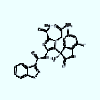 CNC(=O)c1nc(NC(=O)c2nsc3ccccc23)c([C@]2(C)C(=O)Nc3c(F)cc(F)cc32)n1CC(N)=O